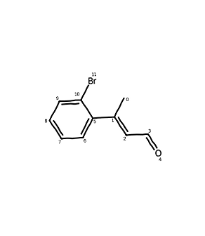 C/C(=C\C=O)c1ccccc1Br